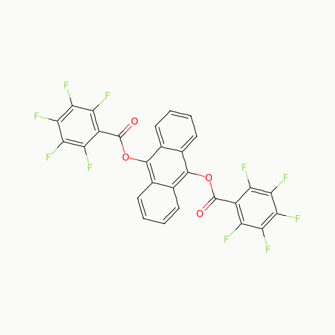 O=C(Oc1c2ccccc2c(OC(=O)c2c(F)c(F)c(F)c(F)c2F)c2ccccc12)c1c(F)c(F)c(F)c(F)c1F